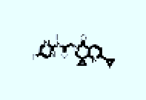 O=C(CN1CC2(CC2)c2nc(C3CC3)ccc2C1=O)Nc1ncc(F)cn1